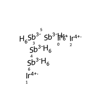 [Ir+4].[Ir+4].[Ir+4].[SbH6-3].[SbH6-3].[SbH6-3].[SbH6-3]